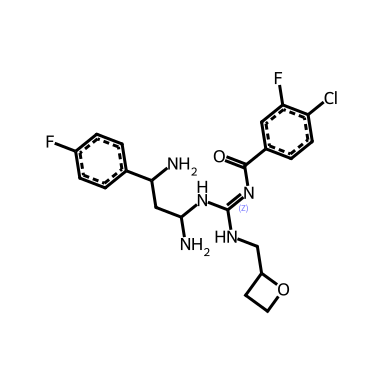 NC(CC(N)c1ccc(F)cc1)N/C(=N\C(=O)c1ccc(Cl)c(F)c1)NCC1CCO1